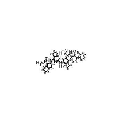 CN/C=C(\C=N)c1cc(Nc2nc(Nc3ccc4nccnc4c3P(C)C)c3cc[nH]c3n2)c2c(c1N1CCC(N3CCOCC3)CC1)CCO2